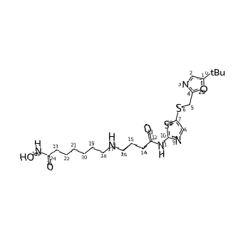 CC(C)(C)c1cnc(CSc2cnc(NC(=O)CCCNCCCCCCC(=O)NO)s2)o1